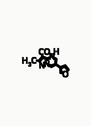 Cc1nn2cc(-c3ccoc3)cnc2c1C(=O)O